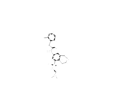 CN(C)/C=N/S(=O)(=O)c1cc(NC(=O)Cc2ccccc2Cl)cc2c1CCNC2